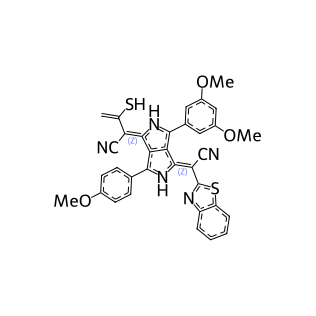 C=C(S)/C(C#N)=c1\[nH]c(-c2cc(OC)cc(OC)c2)c2/c(=C(\C#N)c3nc4ccccc4s3)[nH]c(-c3ccc(OC)cc3)c12